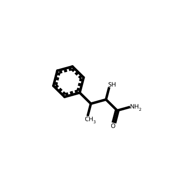 CC(c1ccccc1)C(S)C(N)=O